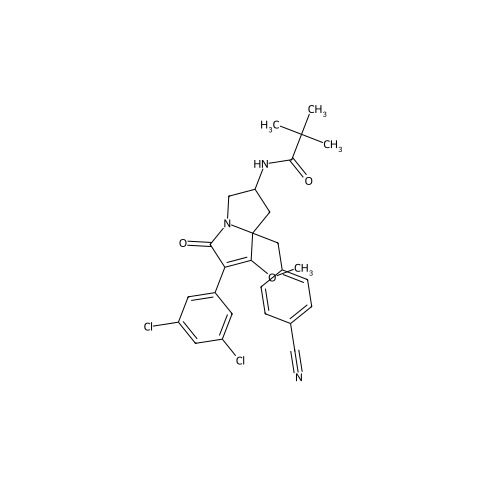 COC1=C(c2cc(Cl)cc(Cl)c2)C(=O)N2CC(NC(=O)C(C)(C)C)CC12Cc1ccc(C#N)cc1